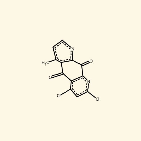 Cc1ccnc2c1C(=O)c1c(Cl)cc(Cl)nc1C2=O